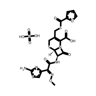 CON=C(C(=O)N[C@@H]1C(=O)N2C(C(=O)O)=C(CSC(=O)c3ccco3)CS[C@H]12)c1csc(N)n1.O=S(=O)(O)O